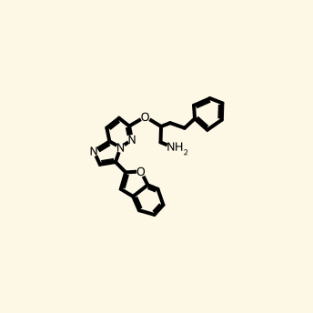 NCC(CCc1ccccc1)Oc1ccc2ncc(-c3cc4ccccc4o3)n2n1